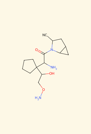 N#CC1CC2CC2N1C(=O)C(N)C1(C(O)CON)CCCC1